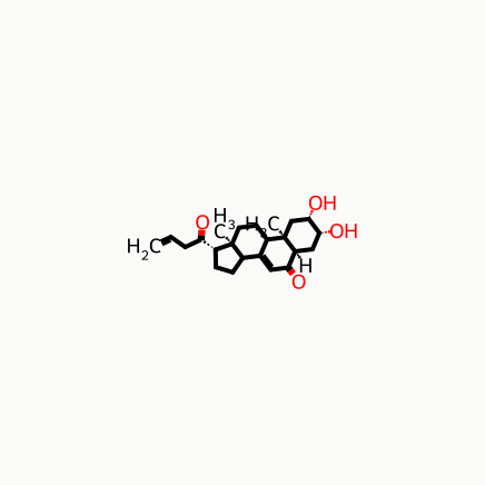 C=CCC(=O)[C@H]1CCC2C3=CC(=O)[C@@H]4C[C@@H](O)[C@@H](O)C[C@]4(C)C3CC[C@@]21C